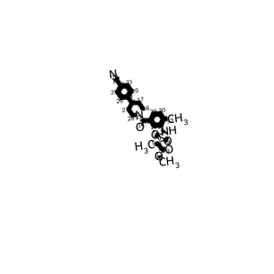 COC(=O)C(C)S(=O)(=O)Nc1cc(C(=O)N2CCC(c3ccc(C#N)cc3)CC2)ccc1C